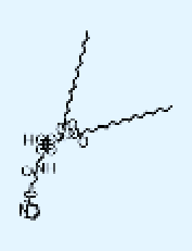 CCCCCCCCCCCCCCCC(=O)OC[C@H](COP(=O)(O)OCCNC(=O)CCSSc1ccccn1)OC(=O)CCCCCCCCCCCCCCC